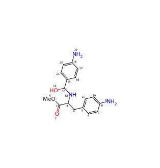 COC(=O)C(Cc1ccc(N)cc1)NC(O)c1ccc(N)cc1